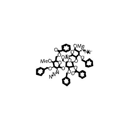 CCC1OC(OC)[C@@H](N=[N+]=[N-])[C@@H](OCc2ccccc2)C1O[C@@H]1O[C@@H](COC(C)=O)[C@@H](OC2OC(COC(=O)c3ccccc3)C(OC)[C@H](OCc3ccccc3)[C@@H]2N=[N+]=[N-])C(OCc2ccccc2)C1OC(=O)c1ccccc1